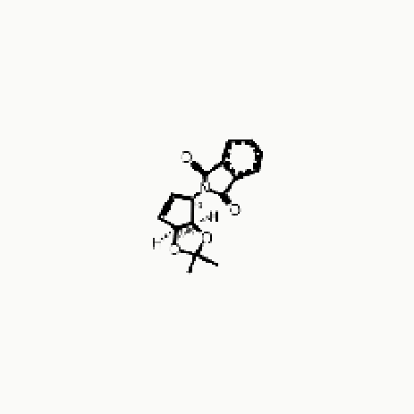 CC1(C)O[C@H]2[C@H](C=C[C@H]2N2C(=O)c3ccccc3C2=O)O1